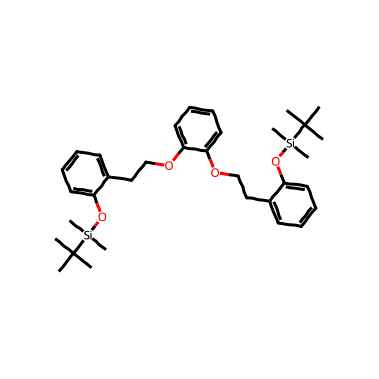 CC(C)(C)[Si](C)(C)Oc1ccccc1CCOc1ccccc1OCCc1ccccc1O[Si](C)(C)C(C)(C)C